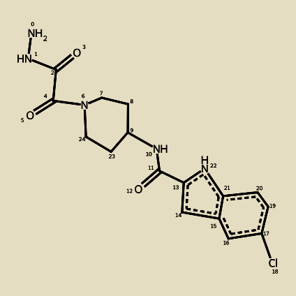 NNC(=O)C(=O)N1CCC(NC(=O)c2cc3cc(Cl)ccc3[nH]2)CC1